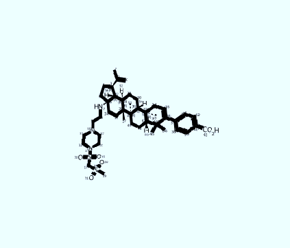 C=C(C)[C@@H]1CC[C@]2(NCCN3CCN(S(=O)(=O)CS(C)(=O)=O)CC3)CC[C@]3(C)[C@H](CC[C@@H]4[C@@]5(C)CC=C(c6ccc(C(=O)O)cc6)C(C)(C)[C@@H]5CC[C@]43C)[C@@H]12